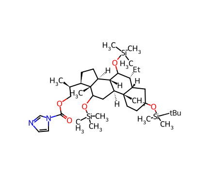 CC[C@H]1C(O[Si](C)(C)C)[C@@H]2[C@H](CC(O[Si](C)(C)C)[C@]3(C)[C@@H]([C@H](C)COC(=O)n4ccnc4)CC[C@@H]23)[C@@]2(C)CCC(O[Si](C)(C)C(C)(C)C)C[C@@H]12